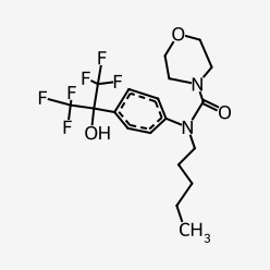 CCCCCN(C(=O)N1CCOCC1)c1ccc(C(O)(C(F)(F)F)C(F)(F)F)cc1